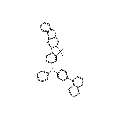 CC1(C)c2cc(N(c3ccccc3)c3ccc(-c4cccc5ccccc45)cc3)ccc2-c2cc3c(cc21)oc1ccccc13